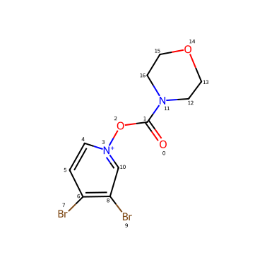 O=C(O[n+]1ccc(Br)c(Br)c1)N1CCOCC1